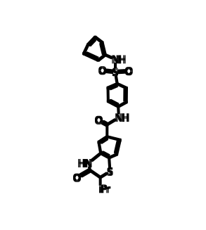 CC(C)C1Sc2ccc(C(=O)Nc3ccc(S(=O)(=O)Nc4ccccc4)cc3)cc2NC1=O